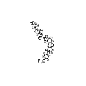 CC(C)(C)OC(=O)N1CC[C@@H](NC(=O)C2Cc3cc(OC4CCN(c5ccc(C(F)(F)F)cc5)CC4)ccc3O2)C1